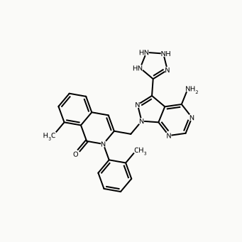 Cc1ccccc1-n1c(Cn2nc(C3=NNNN3)c3c(N)ncnc32)cc2cccc(C)c2c1=O